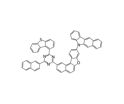 c1ccc2cc(-c3nc(-c4ccc5ccc6oc7cc(-n8c9ccccc9c9cc%10ccccc%10cc98)ccc7c6c5c4)nc(-c4cccc5sc6ccccc6c45)n3)ccc2c1